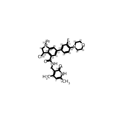 Cc1cc(C)c(CNC(=O)c2cc(-c3ccc(N4CCOCC4)c(F)c3)cc3c2C(Cl)CN3C(C)C)c(=O)[nH]1